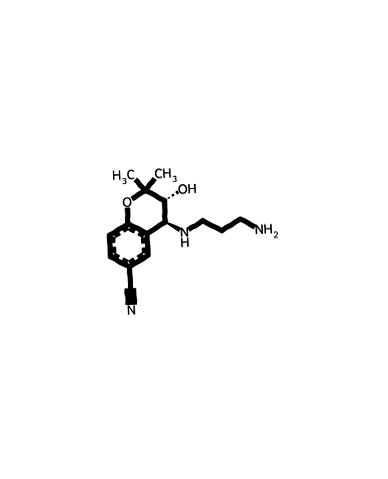 CC1(C)Oc2ccc(C#N)cc2[C@H](NCCCN)[C@H]1O